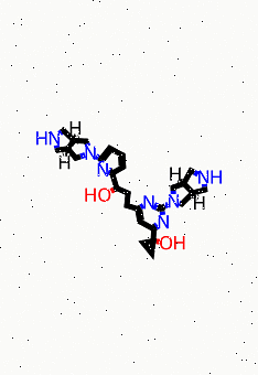 OC(CCc1cc(C2(O)CC2)nc(N2C[C@H]3CNC[C@H]3C2)n1)c1cccc(N2C[C@H]3CNC[C@H]3C2)n1